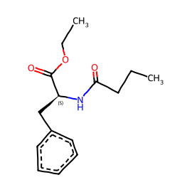 CCCC(=O)N[C@@H](Cc1ccccc1)C(=O)OCC